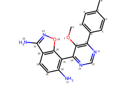 COc1c(-c2ccc(C)cc2)ncnc1-c1c(N)ccc2c(N)noc12